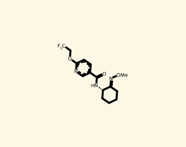 CON=C1CCCC[C@@H]1NC(=O)c1ccc(OCC(F)(F)F)nc1